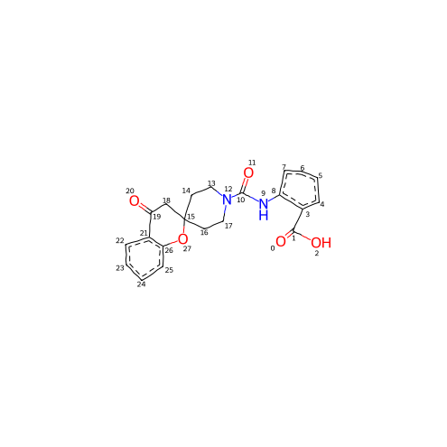 O=C(O)c1ccccc1NC(=O)N1CCC2(CC1)CC(=O)c1ccccc1O2